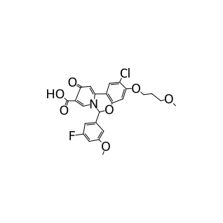 COCCCOc1cc2c(cc1Cl)-c1cc(=O)c(C(=O)O)cn1C(c1cc(F)cc(OC)c1)O2